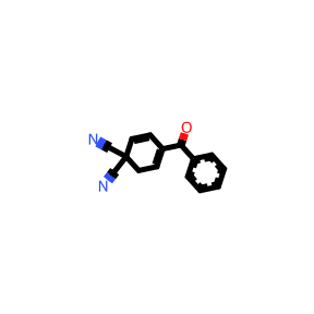 N#CC1(C#N)C=CC(C(=O)c2ccccc2)=CC1